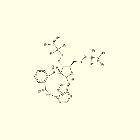 CC(C)[SiH](C(C)C)[Si](OOC[C@H]1O[C@@H]2[C@H](C(=O)c3ccccc3C(=O)Nc3ncnc4c3ncn42)[C@@H]1OO[Si](C(C)C)(C(C)C)[SiH](C(C)C)C(C)C)(C(C)C)C(C)C